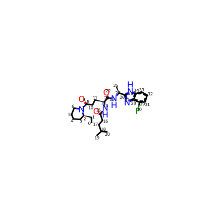 CC[C@H]1CCCCN1C(=O)CC[C@H](NC(=O)CCC(C)C)C(=O)N[C@@H](C)c1nc2c(F)cccc2[nH]1